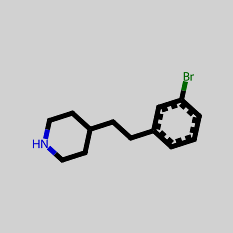 Brc1cccc(CCC2CCNCC2)c1